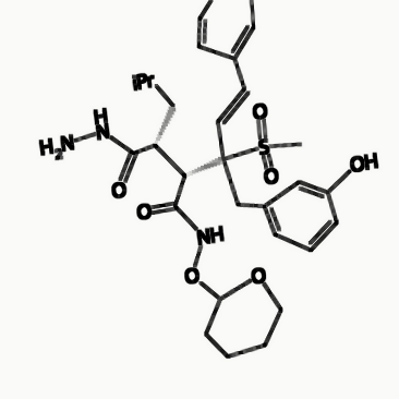 CC(C)C[C@@H](C(=O)NN)[C@@H](C(=O)NOC1CCCCO1)C(/C=C/c1ccccc1)(Cc1cccc(O)c1)S(C)(=O)=O